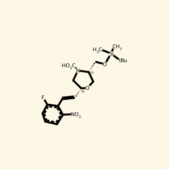 CC(C)(C)[Si](C)(C)OC[C@@H]1CO[C@H](C=Cc2c(F)cccc2[N+](=O)[O-])CN1C(=O)O